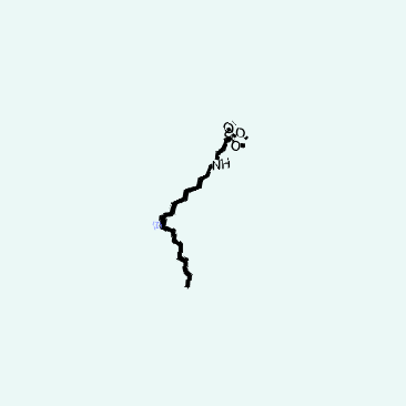 CCCCCCCC/C=C\CCCCCCCCNCCC[Si](OC)(OC)OC